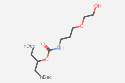 CCCCCCCCCCCC(CCCCCCCCCCC)OC(=O)NCCCOCCO